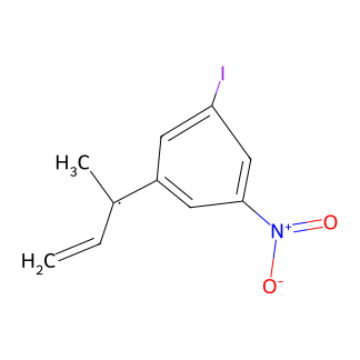 C=C[C](C)c1cc(I)cc([N+](=O)[O-])c1